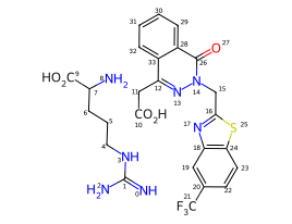 N=C(N)NCCCC(N)C(=O)O.O=C(O)Cc1nn(Cc2nc3cc(C(F)(F)F)ccc3s2)c(=O)c2ccccc12